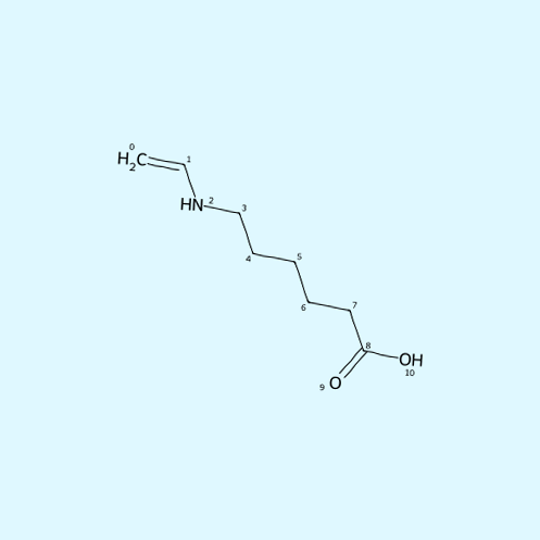 C=CNCCCCCC(=O)O